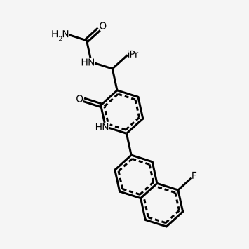 CC(C)C(NC(N)=O)c1ccc(-c2ccc3cccc(F)c3c2)[nH]c1=O